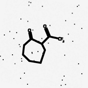 O=C1CCCCCC1C(=O)C(F)(F)F